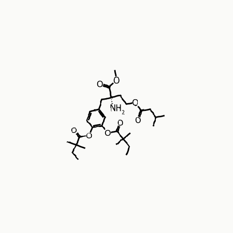 CCC(C)(C)C(=O)Oc1ccc(C[C@](N)(CCOC(=O)CC(C)C)C(=O)OC)cc1OC(=O)C(C)(C)CC